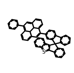 C1=CC2=CC(c3ccccc3)=C3C=CC=C4C=C(c5ccc6c(c5)C5(c7ccccc7-6)c6ccccc6-c6sc7ccccc7c65)C(=C1)C2C43